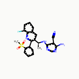 C[C@H](Nc1ncnc(N)c1C#N)c1cc2cccc(F)c2nc1-c1ccccc1S(C)(=O)=O